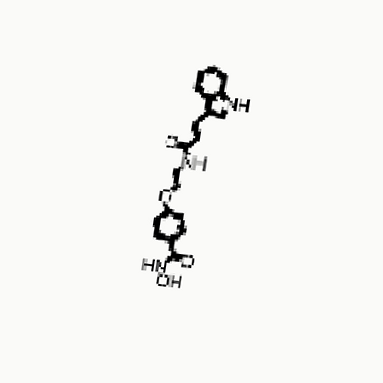 O=C(/C=C/c1c[nH]c2ccccc12)NCCOc1ccc(C(=O)NO)cc1